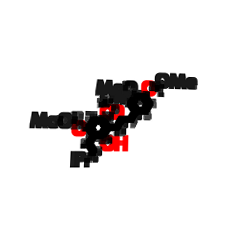 COCOc1ccc(CC(=O)Cc2c(OCOC)cc(OCOC)c(CCC(C)C)c2O)cc1OC